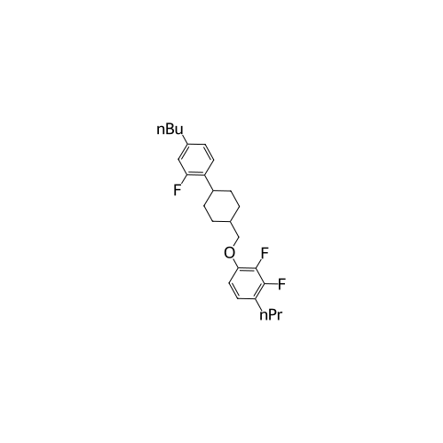 CCCCc1ccc(C2CCC(COc3ccc(CCC)c(F)c3F)CC2)c(F)c1